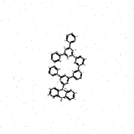 c1ccc(-c2cc(-c3cccc(-c4cccc(-c5nc(-c6ccccc6)nc(-c6ccccc6)n5)c4)c3)nc(N3c4ccccc4Sc4ccccc43)n2)cc1